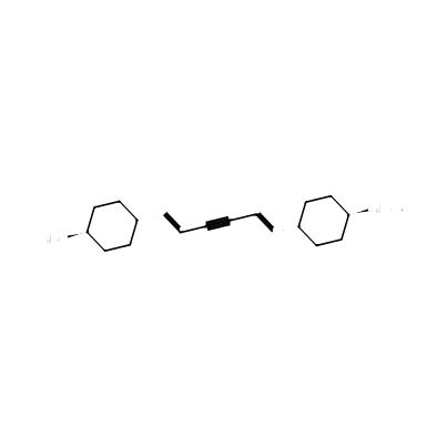 CCCCCC[C@H]1CC[C@H](C=CC#CC=C[C@H]2CC[C@H](CCCC)CC2)CC1